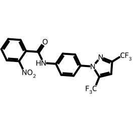 O=C(Nc1ccc(-n2nc(C(F)(F)F)cc2C(F)(F)F)cc1)c1ccccc1[N+](=O)[O-]